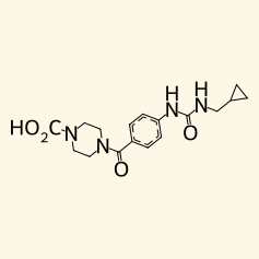 O=C(NCC1CC1)Nc1ccc(C(=O)N2CCN(C(=O)O)CC2)cc1